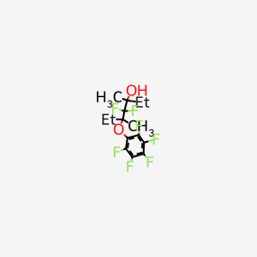 CCC(C)(O)C(F)(F)C(C)(CC)Oc1c(F)c(F)c(F)c(F)c1F